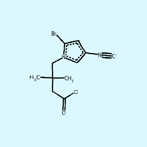 [C-]#[N+]c1cc(Br)n(CC(C)(C)CC(=O)Cl)c1